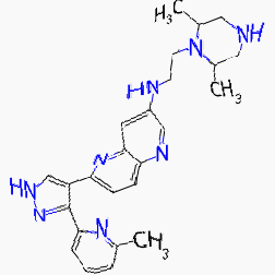 Cc1cccc(-c2n[nH]cc2-c2ccc3ncc(NCCN4C(C)CNCC4C)cc3n2)n1